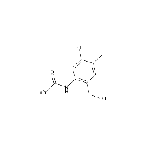 CCCC(=O)Nc1cc(Cl)c(C)cc1CO